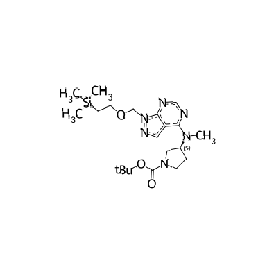 CN(c1ncnc2c1cnn2COCC[Si](C)(C)C)[C@H]1CCN(C(=O)OC(C)(C)C)C1